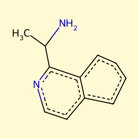 CC(N)c1nccc2ccccc12